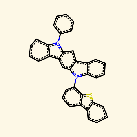 c1ccc(-n2c3ccccc3c3cc4c(cc32)c2ccccc2n4-c2cccc3c2sc2ccccc23)cc1